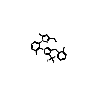 CCc1cc(C)n(-c2cc[c]c(C)c2-n2cc(Cc3ccccc3C)c(C(F)(F)F)n2)n1